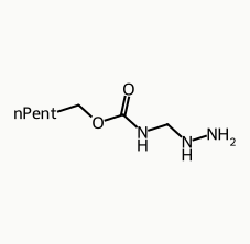 CCCCCCOC(=O)NCNN